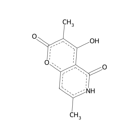 Cc1cc2oc(=O)c(C)c(O)c2c(=O)[nH]1